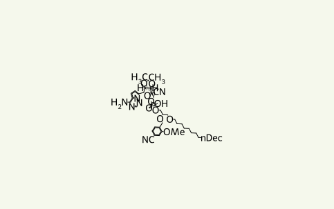 CCCCCCCCCCCCCCCCCCOCC(COP(=O)(O)OC[C@@]1(C#N)OC(c2ccc3c(N)ncnn23)[C@@H]2OC(C)(C)O[C@@H]21)OCc1ccc(C#N)cc1OC